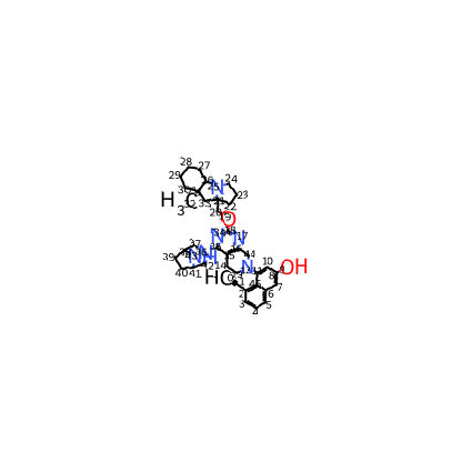 C#Cc1cccc2cc(O)cc(N3CCc4c(nc(OCC56CCCN5C5CCCCC5(C)C6)nc4N4CC5CCC(C4)N5)C3)c12